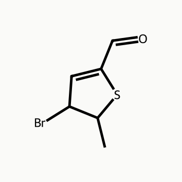 CC1SC(C=O)=CC1Br